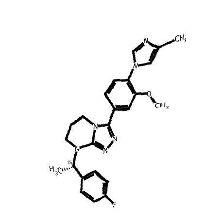 COc1cc(-c2nnc3n2CCCN3[C@@H](C)c2ccc(F)cc2)ccc1-n1cnc(C)c1